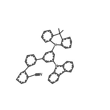 CC1(C)c2ccccc2N(c2cc(-c3cccc(-c4ccccc4C#N)c3)cc(-n3c4ccccc4c4ccccc43)c2)c2ccccc21